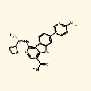 NC(=O)c1cnc(N[C@H](C2CCC2)C(F)(F)F)c2c1[nH]c1cc(-c3cnc(N)nc3)ccc12